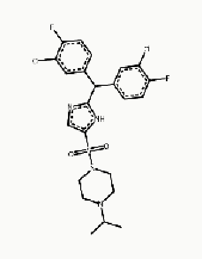 CC(C)N1CCN(S(=O)(=O)c2cnc(C(c3ccc(F)c(Cl)c3)c3ccc(F)c(Cl)c3)[nH]2)CC1